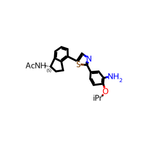 CC(=O)N[C@H]1CCc2c(-c3cnc(-c4ccc(OC(C)C)c(N)c4)s3)cccc21